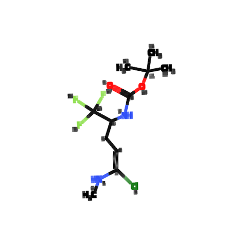 CN/C(Cl)=C\CC(NC(=O)OC(C)(C)C)C(F)(F)F